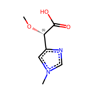 CO[C@H](C(=O)O)c1cn(C)cn1